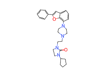 O=C1N(CCN2CCN(c3cccc4cc(-c5ccccc5)oc34)CC2)CCN1C1CCCC1